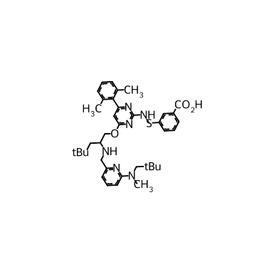 Cc1cccc(C)c1-c1cc(OCC(CC(C)(C)C)NCc2cccc(N(C)CC(C)(C)C)n2)nc(NSc2cccc(C(=O)O)c2)n1